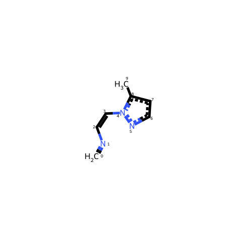 C=N/C=C\n1nccc1C